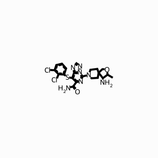 CC1OCC2(CCN(c3nc(C(N)=O)c(Sc4cccc(Cl)c4Cl)c4ncnn34)CC2)[C@@H]1N